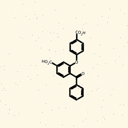 O=C(O)c1ccc(Oc2cc(C(=O)O)ccc2C(=O)c2ccccc2)cc1